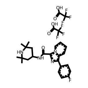 CC1(C)CC(NC(=O)c2nc(-c3ccc(F)cc3)c3ccccn23)CC(C)(C)N1.O=C(O)C(F)(F)F.O=C(O)C(F)(F)F